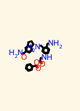 NC(=O)c1ccc2c(c1)CCC2.NCc1ccc(NCC(=O)OC(=O)c2ccccc2)cc1CN